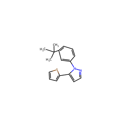 CC(C)(C)c1cccc(-n2nccc2-c2cccs2)c1